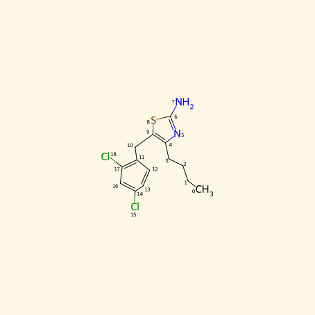 CCCCc1nc(N)sc1Cc1ccc(Cl)cc1Cl